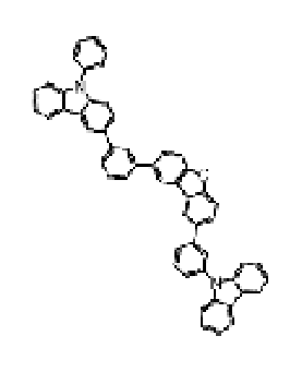 c1ccc(-n2c3ccccc3c3cc(-c4cccc(-c5ccc6oc7ccc(-c8cccc(-n9c%10ccccc%10c%10ccccc%109)c8)cc7c6c5)c4)ccc32)cc1